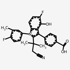 Cc1cc(-n2c(C(C)(C)CC#N)c(-c3ccc(C(=O)O)cc3)c3c(O)c(F)ccc32)ccc1F